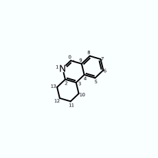 [c]1nc2c(c3ccccc13)CCCC2